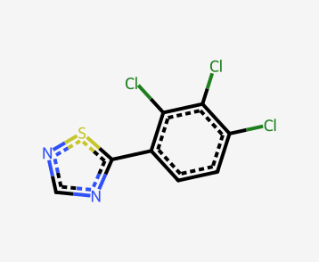 Clc1ccc(-c2ncns2)c(Cl)c1Cl